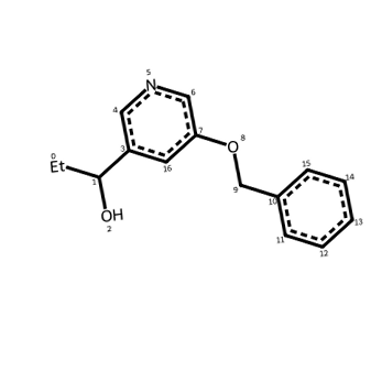 CCC(O)c1cncc(OCc2ccccc2)c1